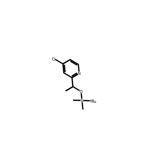 CC(O[Si](C)(C)C(C)(C)C)c1cc(Cl)ccn1